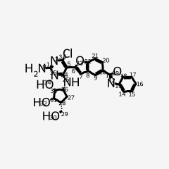 Nc1nc(Cl)c(-c2cc3cc(-c4nc5ccccc5o4)ccc3o2)c(N[C@@H]2C[C@H](CO)[C@@H](O)[C@H]2O)n1